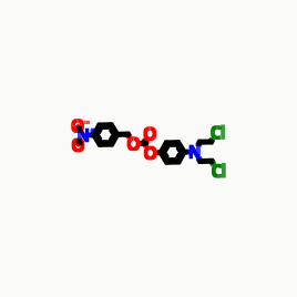 O=C(OCc1ccc([N+](=O)[O-])cc1)Oc1ccc(N(CCCl)CCCl)cc1